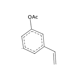 C=Cc1c[c]cc(OC(C)=O)c1